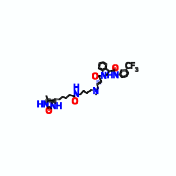 C[C@@H]1NC(=O)N[C@@H]1CCCCCC(=O)NCCCCN(C)C/C=C/C(=O)N1CC(C(=O)Nc2cccc(C(F)(F)F)c2)c2ccccc21